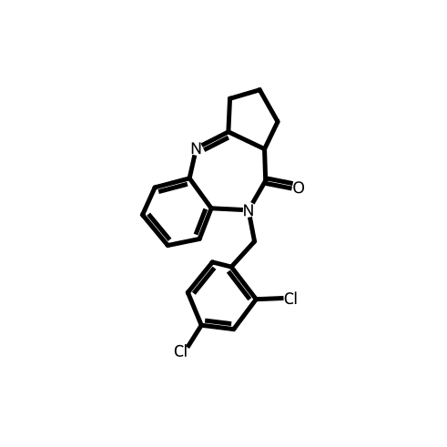 O=C1C2CCCC2=Nc2ccccc2N1Cc1ccc(Cl)cc1Cl